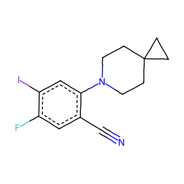 N#Cc1cc(F)c(I)cc1N1CCC2(CC1)CC2